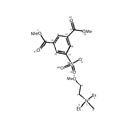 CC[N+](C)(CC)CCOC.COC(=O)c1cc(C(=O)OC)cc(S(=O)(=O)[O-])c1